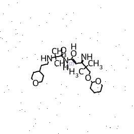 CC(C)(COC1CCCCO1)C(=N)/C=C(\O)NC(=O)C(C)(C)NCCC1CCOCC1